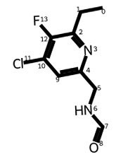 CCc1nc(CNC=O)cc(Cl)c1F